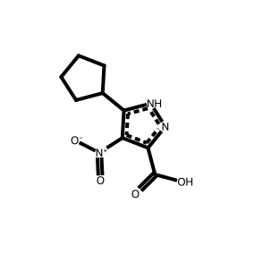 O=C(O)c1n[nH]c(C2CCCC2)c1[N+](=O)[O-]